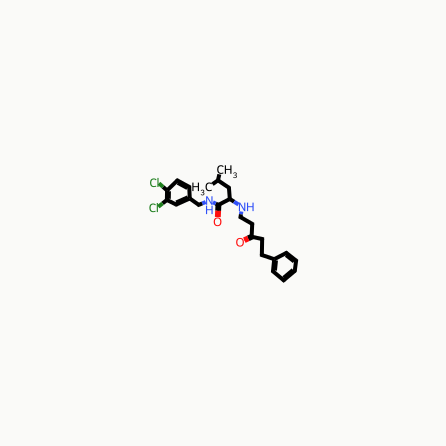 CC(C)CC(NCCC(=O)CCc1ccccc1)C(=O)NCc1ccc(Cl)c(Cl)c1